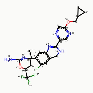 C[C@@]1(c2cc3c(cc2F)CNC(c2cnc(OCC4CC4)cn2)=N3)C[C@@H](C(F)(F)F)OC(N)=N1